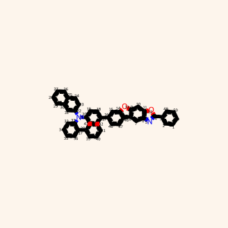 c1ccc(-c2nc3cc4c(cc3o2)oc2cc(-c3ccc(N(c5ccc6ccccc6c5)c5ccccc5-c5ccccc5)cc3)ccc24)cc1